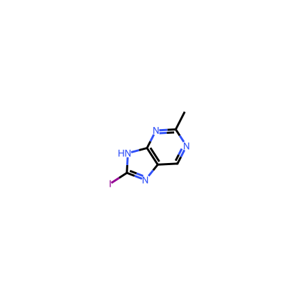 Cc1ncc2nc(I)[nH]c2n1